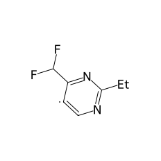 CCc1nc[c]c(C(F)F)n1